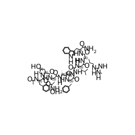 CNC(=N)NCCC[C@H](NC(=O)[C@H](CC(C)C)NC(=O)NNC(=O)[C@H](Cc1ccccc1)NC(=O)[C@@H](C)NC(=O)[C@H](CC(N)=O)NC(=O)[C@@H]1C[C@@H](O)CN1C(=O)[C@@H](Cc1ccc(O)cc1)NC(C)=O)C(=O)N[C@@H](Cc1c[nH]c2ccccc12)C(N)=O